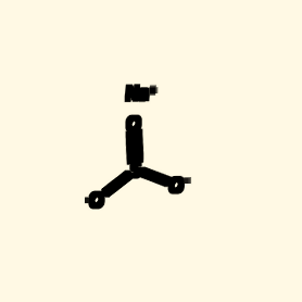 [Na+].[O]S(=O)[O-]